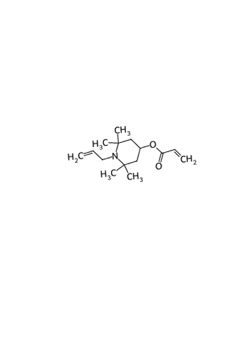 C=CCN1C(C)(C)CC(OC(=O)C=C)CC1(C)C